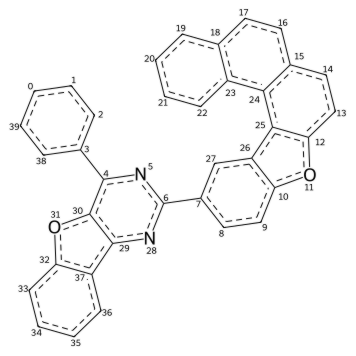 c1ccc(-c2nc(-c3ccc4oc5ccc6ccc7ccccc7c6c5c4c3)nc3c2oc2ccccc23)cc1